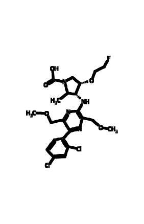 COCc1nc(-c2ccc(Cl)cc2Cl)c(COC)nc1N[C@@H]1C(C)N(C(=O)O)C[C@@H]1OCCF